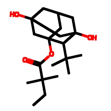 CCC(C)(C)C(=O)OC12CC3CC(O)(CC(O)(C3)C1C(C)(C)C)C2